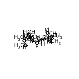 Cc1ncsc1-c1ccc([C@H](C)NC(=O)[C@@H]2C[C@@H](O)CN2C(=O)C(C(C)C)n2cc(-c3cc(F)cc(O[C@H](C)CNC(=O)C[C@@H]4N=C(c5ccc(Cl)cc5)c5c(sc(C)c5C)-n5c(C)nnc54)c3)cn2)cc1